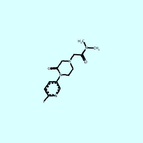 CN(C)C(=O)CN1CCN(c2ccc(I)nc2)C(=O)C1